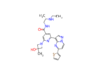 CCN[C@@H](C)CNC(=O)c1cc(-c2cnn3ccc(-c4cccs4)nc23)nc(N2CC(C)(O)C2)c1